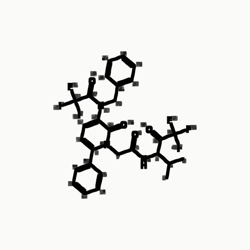 CC(C)C(NC(=O)Cn1c(-c2ccccc2)ccc(N(Cc2ccccc2)C(=O)C(F)(F)F)c1=O)C(=O)C(F)(F)F